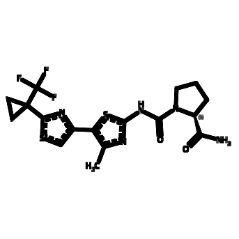 Cc1nc(NC(=O)N2CCC[C@H]2C(N)=O)sc1-c1csc(C2(C(F)(F)F)CC2)n1